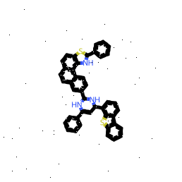 C1=C(c2ccccc2)NC(c2ccc3c(ccc4ccc5c(c43)NC(c3ccccc3)S5)c2)NC1c1cccc2c1sc1ccccc12